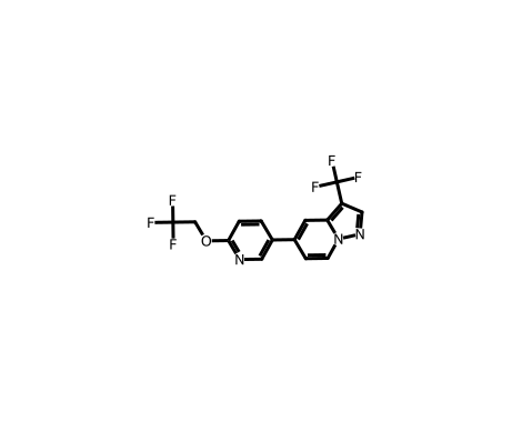 FC(F)(F)COc1ccc(-c2ccn3ncc(C(F)(F)F)c3c2)cn1